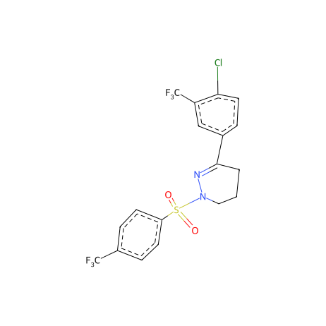 O=S(=O)(c1ccc(C(F)(F)F)cc1)N1CCCC(c2ccc(Cl)c(C(F)(F)F)c2)=N1